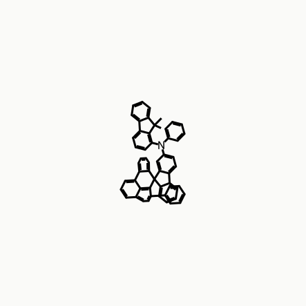 CC1(C)c2ccccc2-c2cccc(N(c3ccccc3)c3ccc4c(c3)C3(c5ccccc5-4)c4ccccc4-c4cccc5ccc(-c6ccccc6)c3c45)c21